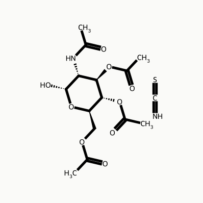 CC(=O)N[C@@H]1[C@@H](OC(C)=O)[C@H](OC(C)=O)[C@@H](COC(C)=O)O[C@@H]1O.N=C=S